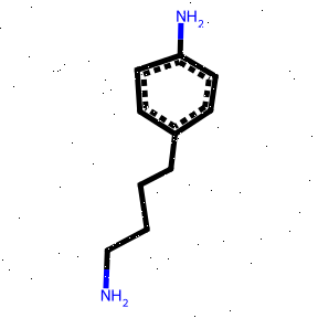 NCCCCc1ccc(N)cc1